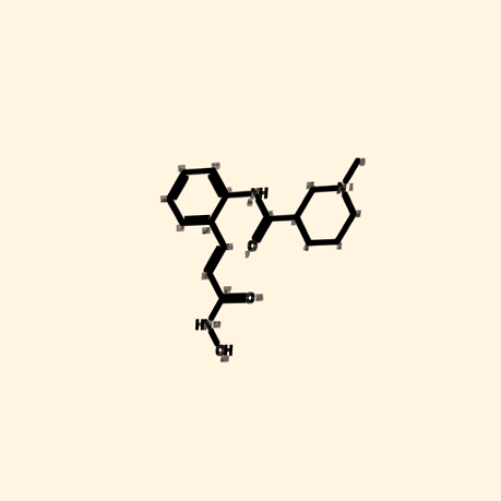 CN1CCCC(C(=O)Nc2ccccc2/C=C/C(=O)NO)C1